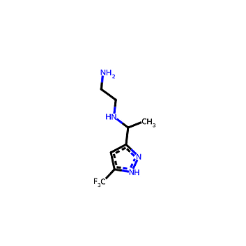 CC(NCCN)c1cc(C(F)(F)F)[nH]n1